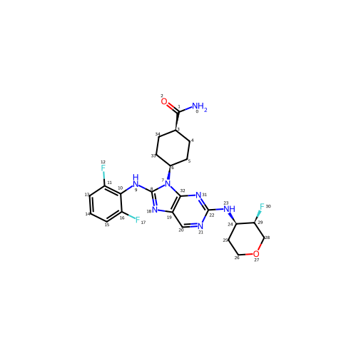 NC(=O)[C@H]1CC[C@@H](n2c(Nc3c(F)cccc3F)nc3cnc(N[C@@H]4CCOC[C@@H]4F)nc32)CC1